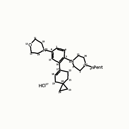 CCCCCN1CCN(c2ccc(N3CCOCC3)cc2C2=CCC3(CC2)CC3)CC1.Cl